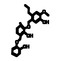 CCCc1cc(OC)c(O)cc1COc1c(C)ccc(COc2ccccc2O)c1O